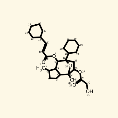 CC1CCC2C1C(OC(=O)/C=C/C1CCCCC1)C1(C3CCCCC3)CC(OC(=O)CO)C2(C)O1